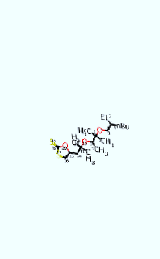 CCCCC(CC)COC(C)(C)C(C)OC(C)(C)CC1CSC(=S)O1